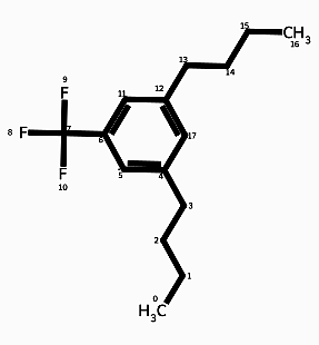 CCCCc1[c]c(C(F)(F)F)cc(CCCC)c1